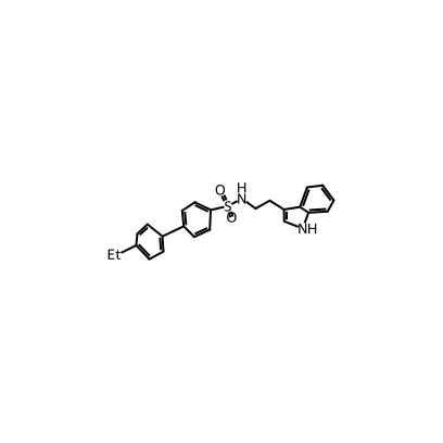 CCc1ccc(-c2ccc(S(=O)(=O)NCCc3c[nH]c4ccccc34)cc2)cc1